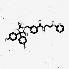 N=C1NC(c2ccc(F)cc2)(c2ccc(F)cc2)C(=O)N1Cc1cccc(C(=O)NCCNc2ccccn2)c1